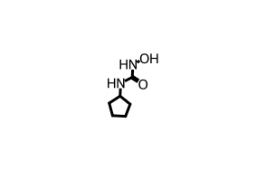 O=C(NO)NC1CCCC1